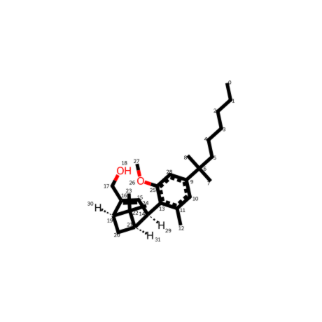 CCCCCCC(C)(C)c1cc(C)c([C@@H]2C=C(CO)[C@@H]3C[C@H]2C3(C)C)c(OC)c1